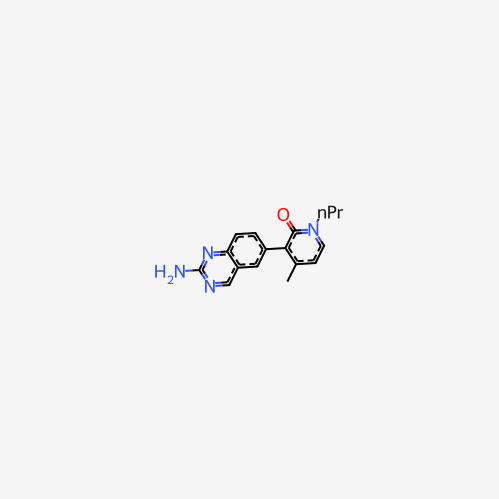 CCCn1ccc(C)c(-c2ccc3nc(N)ncc3c2)c1=O